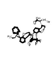 CCN(c1ccccc1)c1cccc2c1OC[C@H]2N(C(=O)C(F)(F)F)c1ccc2c(c1)OC[C@H]2C(C)C(=O)O